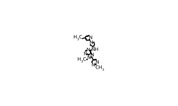 CCc1ccnc(N2CC[C@H](Nc3ncnc4c3nc(-c3cnc(C)nc3)n4CC)C2)c1